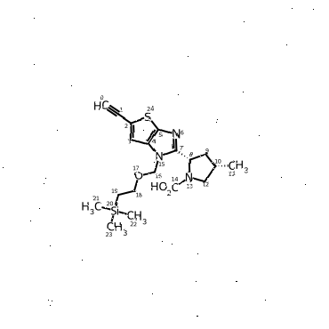 C#Cc1cc2c(nc([C@@H]3C[C@H](C)CN3C(=O)O)n2COCC[Si](C)(C)C)s1